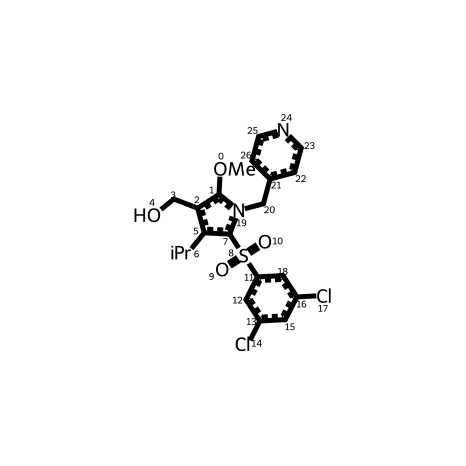 COc1c(CO)c(C(C)C)c(S(=O)(=O)c2cc(Cl)cc(Cl)c2)n1Cc1ccncc1